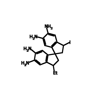 CCC1CC2(CC(I)c3cc(N)c(N)cc32)c2cc(N)c(N)cc21